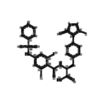 Cn1ccc(=O)n1-c1ccc(C[C@H](NC(=O)c2c(F)cc(NS(=O)(=O)c3ccncc3)cc2F)C(=O)O)cc1